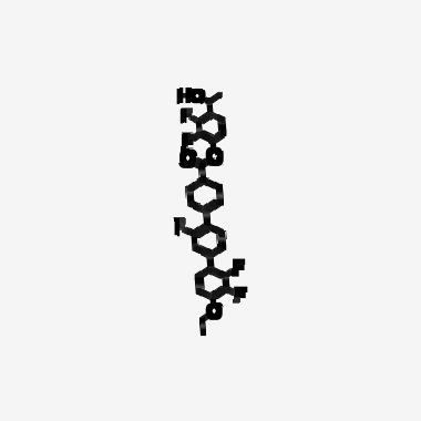 CCOc1ccc(-c2ccc(C3=CCC(C(=O)Oc4ccc(C(C)O)c(F)c4F)CC3)c(F)c2)c(F)c1F